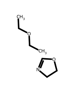 C1=NCCO1.CCOCC